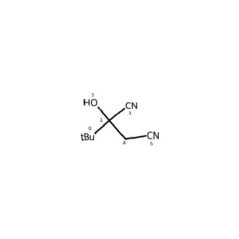 CC(C)(C)C(O)(C#N)CC#N